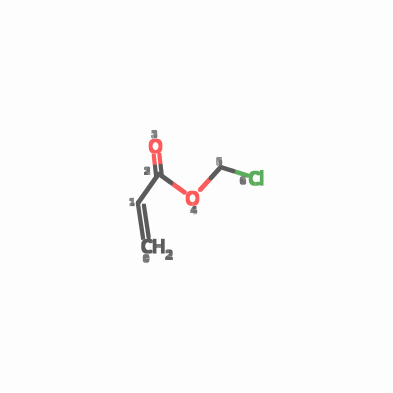 C=CC(=O)OCCl